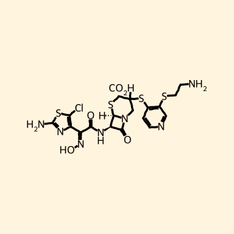 NCCSc1cnccc1SC1(C(=O)O)CS[C@@H]2[C@H](NC(=O)C(=NO)c3nc(N)sc3Cl)C(=O)N2C1